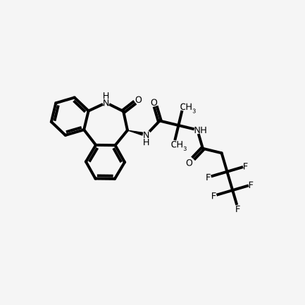 CC(C)(NC(=O)CC(F)(F)C(F)(F)F)C(=O)N[C@@H]1C(=O)Nc2ccccc2-c2ccccc21